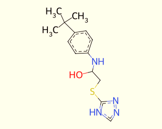 CC(C)(C)c1ccc(NC(O)CSc2nnc[nH]2)cc1